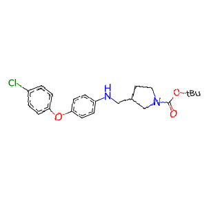 CC(C)(C)OC(=O)N1CCC(CNc2ccc(Oc3ccc(Cl)cc3)cc2)C1